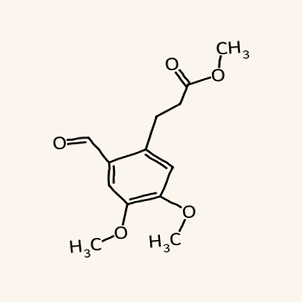 COC(=O)CCc1cc(OC)c(OC)cc1C=O